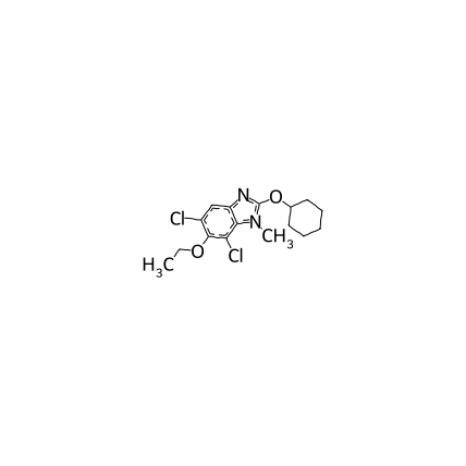 CCOc1c(Cl)cc2nc(OC3CCCCC3)n(C)c2c1Cl